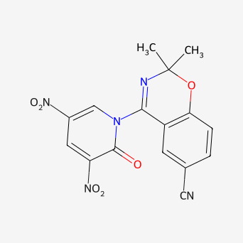 CC1(C)N=C(n2cc([N+](=O)[O-])cc([N+](=O)[O-])c2=O)c2cc(C#N)ccc2O1